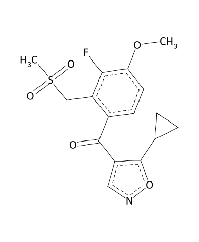 COc1ccc(C(=O)c2cnoc2C2CC2)c(CS(C)(=O)=O)c1F